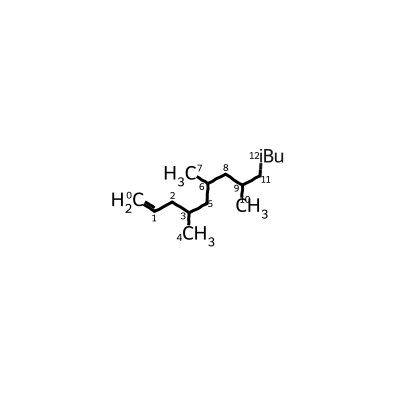 C=CCC(C)CC(C)CC(C)CC(C)CC